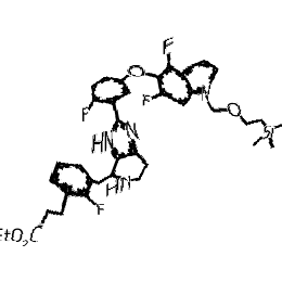 CCOC(=O)CCc1cccc(C2NCCc3nc(-c4cc(Oc5c(F)cc6c(ccn6COCC[Si](C)(C)C)c5F)ccc4F)[nH]c32)c1F